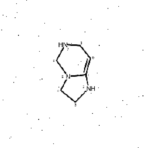 C1=C2NCCN2CNC1